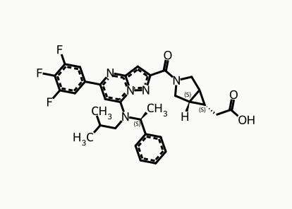 CC(C)CN(c1cc(-c2cc(F)c(F)c(F)c2)nc2cc(C(=O)N3CC4[C@@H](C3)[C@H]4CC(=O)O)nn12)[C@@H](C)c1ccccc1